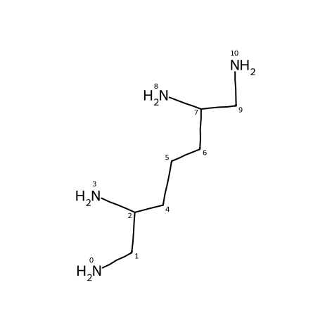 NCC(N)CCCC(N)CN